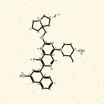 CC1CN(c2nc(OCC34CCCN3C[C@H](F)C4)nc3c(F)c(-c4cc(O)cc5ccccc45)ncc23)CC[C@@H]1O